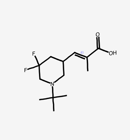 C/C(=C\C1CN(C(C)(C)C)CC(F)(F)C1)C(=O)O